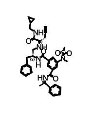 C#CC[C@H](NC[C@H](Cc1ccccc1)NC(=O)c1cc(C(=O)N[C@H](C)c2ccccc2)cc(N(C)S(C)(=O)=O)c1)C(=O)NCC1CC1